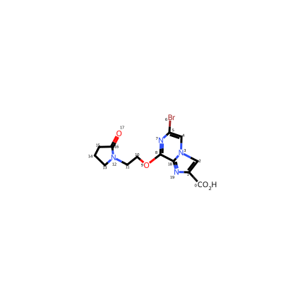 O=C(O)c1cn2cc(Br)nc(OCCN3CCCC3=O)c2n1